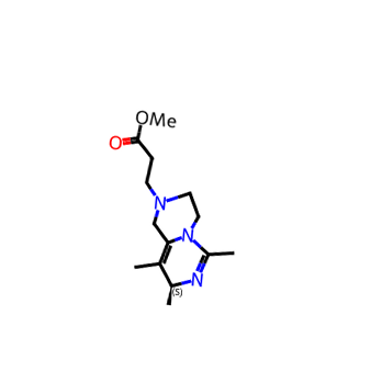 COC(=O)CCN1CCN2C(C)=N[C@@H](C)C(C)=C2C1